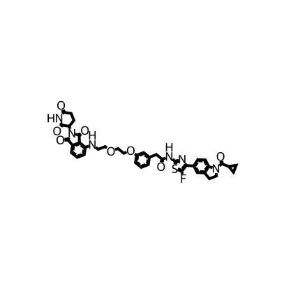 O=C1CCC(N2C(=O)c3cccc(NCCOCCOc4cccc(CC(=O)Nc5nc(-c6ccc7c(c6)CCN7C(=O)C6CC6)c(F)s5)c4)c3C2=O)C(=O)N1